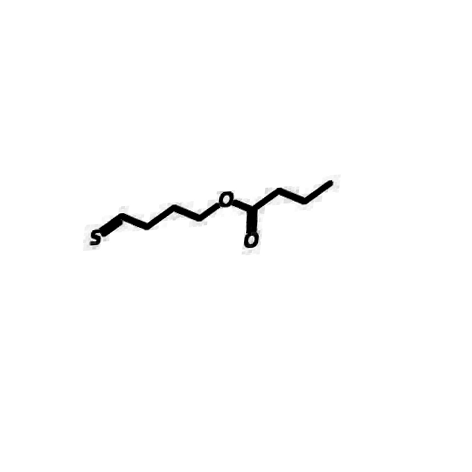 CCCC(=O)OCCCC=S